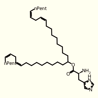 CCCCC/C=C\C/C=C\CCCCCCCCC(CCCCCCCC/C=C\C/C=C\CCCCC)OC(=O)[C@@H](N)Cc1cnc[nH]1